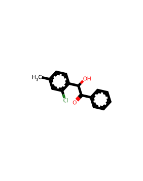 Cc1ccc(C(O)C(=O)c2ccccc2)c(Cl)c1